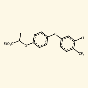 CCOC(=O)C(C)Oc1ccc(Oc2ccc(C(F)(F)F)c(Cl)c2)cc1